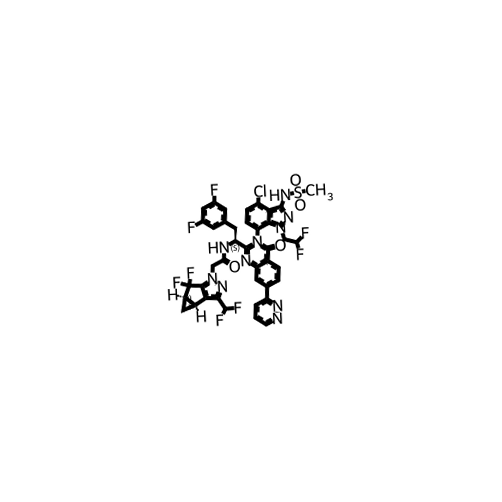 CS(=O)(=O)Nc1nn(CC(F)F)c2c(-n3c([C@H](Cc4cc(F)cc(F)c4)NC(=O)Cn4nc(C(F)F)c5c4C(F)(F)[C@@H]4C[C@H]54)nc4cc(-c5cccnn5)ccc4c3=O)ccc(Cl)c12